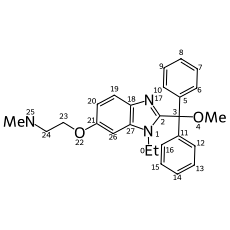 CCn1c(C(OC)(c2ccccc2)c2ccccc2)nc2ccc(OCCNC)cc21